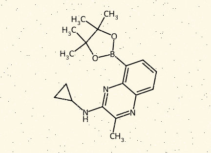 Cc1nc2cccc(B3OC(C)(C)C(C)(C)O3)c2nc1NC1CC1